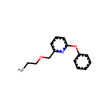 CCCOCc1cccc(Oc2ccccc2)n1